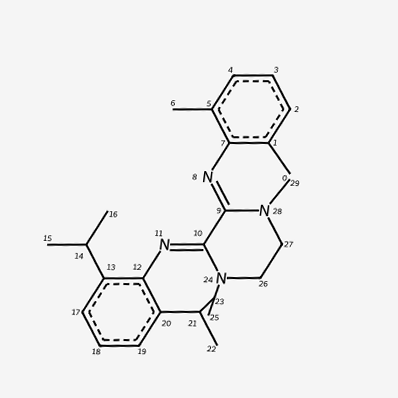 Cc1cccc(C)c1N=C1C(=Nc2c(C(C)C)cccc2C(C)C)N(C)CCN1C